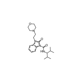 CC(C)C(NC(=O)n1c(=O)n(CCN2CCOCC2)c2ccccc21)C(C)C